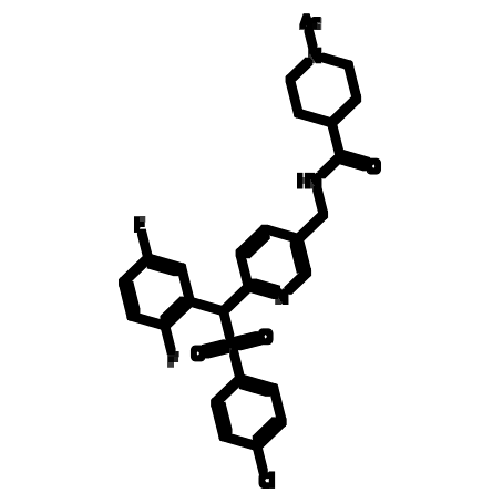 CC(=O)N1CCC(C(=O)NCc2ccc(C(c3cc(F)ccc3F)S(=O)(=O)c3ccc(Cl)cc3)nc2)CC1